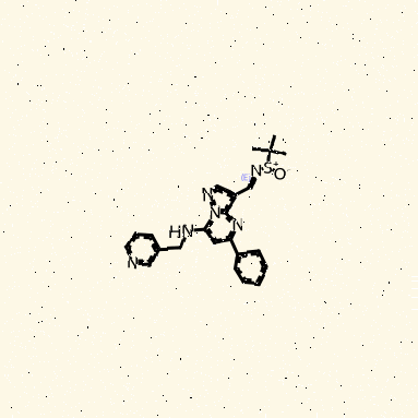 CC(C)(C)[S+]([O-])/N=C/c1cnn2c(NCc3cccnc3)cc(-c3ccccc3)nc12